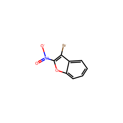 O=[N+]([O-])c1oc2ccccc2c1Br